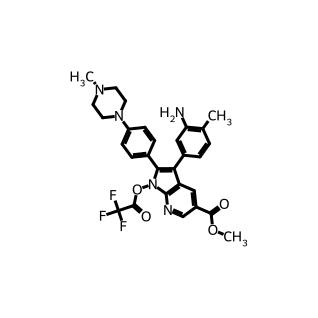 COC(=O)c1cnc2c(c1)c(-c1ccc(C)c(N)c1)c(-c1ccc(N3CCN(C)CC3)cc1)n2OC(=O)C(F)(F)F